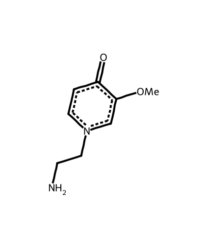 COc1cn(CCN)ccc1=O